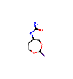 NC(=O)NC1CCOC(I)OC1